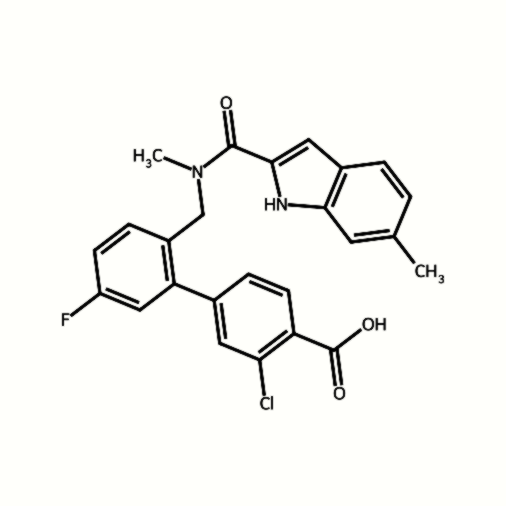 Cc1ccc2cc(C(=O)N(C)Cc3ccc(F)cc3-c3ccc(C(=O)O)c(Cl)c3)[nH]c2c1